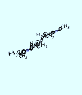 Cc1ccc(/C=C/c2cc[n+](CC[N+](C)(C)CCSSCC[N+](C)(C)CC[n+]3ccc(/C=C/c4ccc(N(C)C)cc4)cc3)cc2)cc1